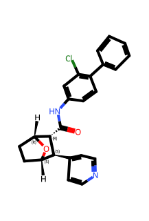 O=C(Nc1ccc(-c2ccccc2)c(Cl)c1)[C@@H]1[C@@H](c2ccncc2)[C@@H]2CC[C@H]1O2